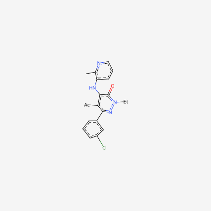 CCn1nc(-c2cccc(Cl)c2)c(C(C)=O)c(Nc2cccnc2C)c1=O